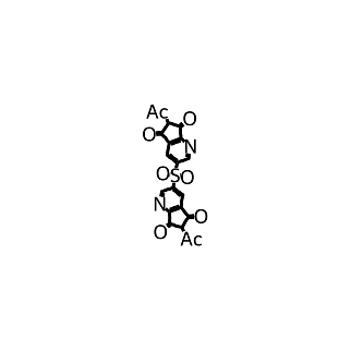 CC(=O)C1C(=O)c2cc(S(=O)(=O)c3cnc4c(c3)C(=O)C(C(C)=O)C4=O)cnc2C1=O